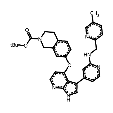 Cc1ccc(CNc2cc(-c3c[nH]c4nccc(Oc5ccc6c(c5)CN(C(=O)OC(C)(C)C)CC6)c34)ccn2)nc1